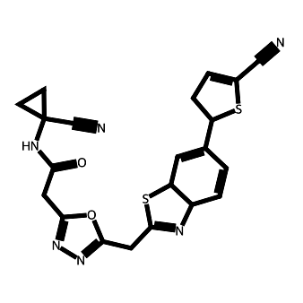 N#CC1=CCC(C2=CC3SC(Cc4nnc(CC(=O)NC5(C#N)CC5)o4)=NC3C=C2)S1